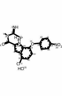 CN(C(=N)N)C(=O)c1cc2c(Cl)ccc(Oc3ccc([N+](=O)[O-])cc3)c2[nH]1.Cl